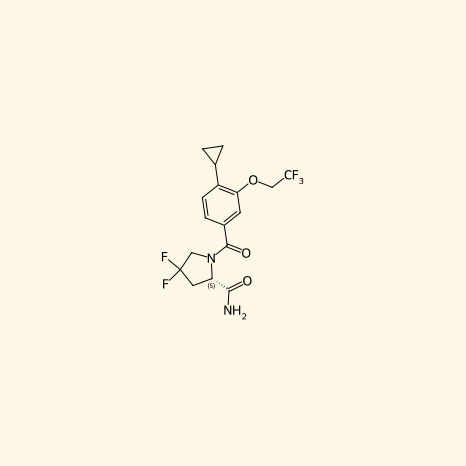 NC(=O)[C@@H]1CC(F)(F)CN1C(=O)c1ccc(C2CC2)c(OCC(F)(F)F)c1